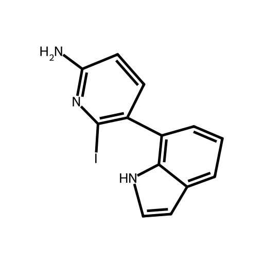 Nc1ccc(-c2cccc3cc[nH]c23)c(I)n1